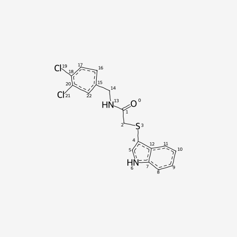 O=C(CSc1c[nH]c2ccccc12)NCc1ccc(Cl)c(Cl)c1